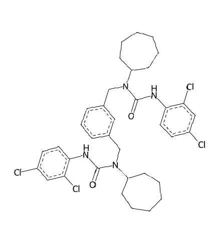 O=C(Nc1ccc(Cl)cc1Cl)N(Cc1cccc(CN(C(=O)Nc2ccc(Cl)cc2Cl)C2CCCCCC2)c1)C1CCCCCC1